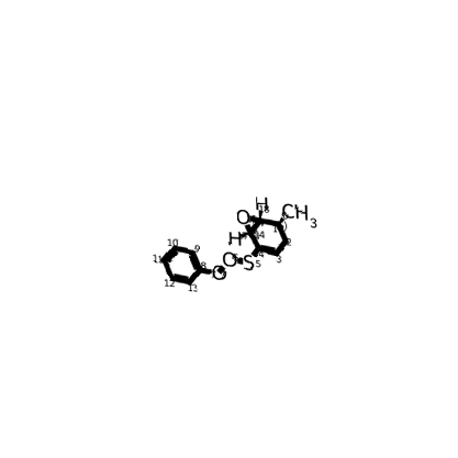 C[C@H]1CC=C(SOOc2ccccc2)[C@@H]2O[C@H]12